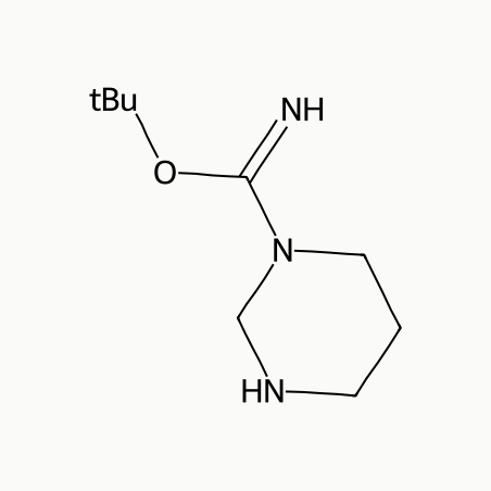 CC(C)(C)OC(=N)N1CCCNC1